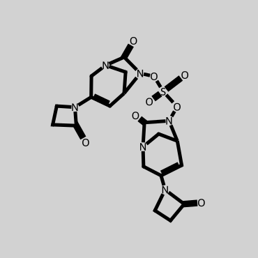 O=C1CCN1C1=CC2CN(C1)C(=O)N2OS(=O)(=O)ON1C(=O)N2CC(N3CCC3=O)=CC1C2